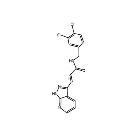 O=C(/C=C/c1n[nH]c2ncccc12)NCc1ccc(Cl)c(Cl)c1